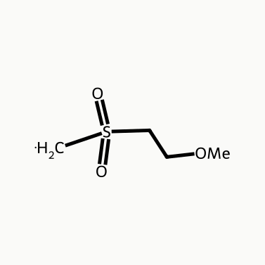 [CH2]S(=O)(=O)CCOC